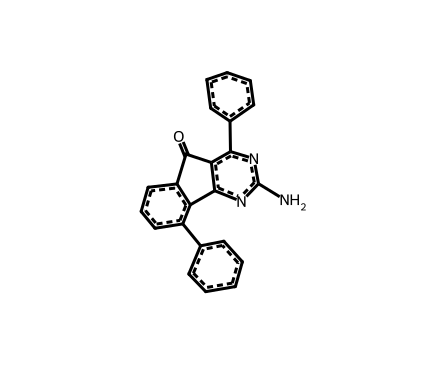 Nc1nc(-c2ccccc2)c2c(n1)-c1c(cccc1-c1ccccc1)C2=O